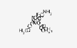 COc1ccc(Cn2nc(OCC3COC(C)(C)O3)c3c(Oc4ccc(N)cc4F)ccnc32)cc1